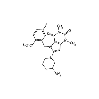 Cl.Cn1c(=O)c2c(cc(N3CCCC(N)C3)n2Cc2cc(F)ccc2Cl)n(C)c1=O